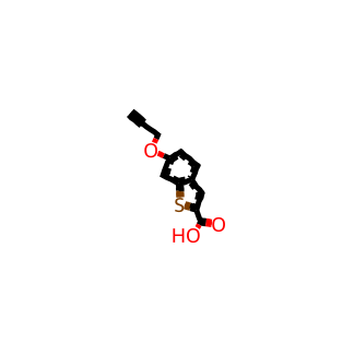 C#CCOc1ccc2cc(C(=O)O)sc2c1